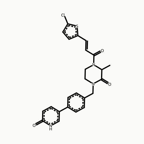 CC1C(=O)N(Cc2ccc(-c3ccc(=O)[nH]c3)cc2)CCN1C(=O)/C=C/c1ccc(Cl)s1